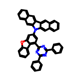 c1ccc(-c2nc(-c3ccccc3)nc(-c3cc(-n4c5cc6ccccc6cc5c5cc6ccccc6cc54)cc4oc5ccccc5c34)n2)cc1